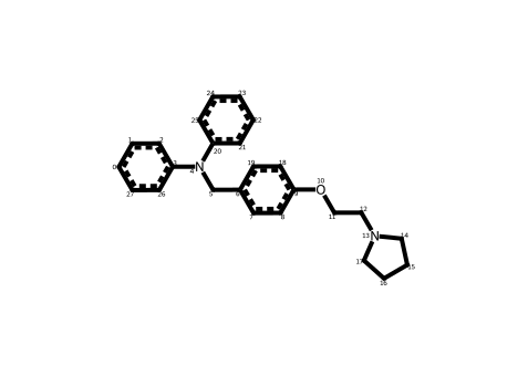 c1ccc(N(Cc2ccc(OCCN3CCCC3)cc2)c2ccccc2)cc1